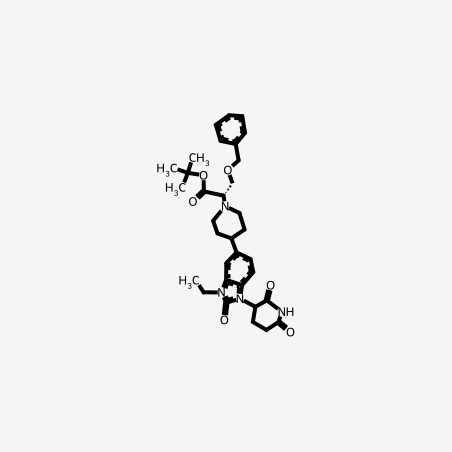 CCn1c(=O)n(C2CCC(=O)NC2=O)c2ccc(C3CCN([C@@H](COCc4ccccc4)C(=O)OC(C)(C)C)CC3)cc21